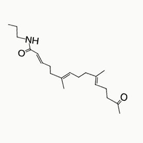 CCCNC(=O)C=CCCC(C)=CCCC(C)=CCCC(C)=O